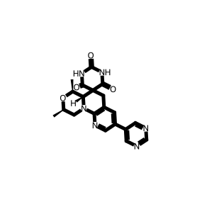 C[C@@H]1CN2c3ncc(-c4cncnc4)cc3CC3(C(=O)NC(=O)NC3=O)[C@H]2[C@H](C)O1